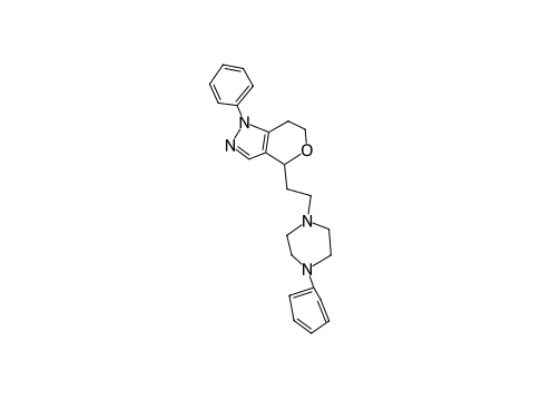 c1ccc(N2CCN(CCC3OCCc4c3cnn4-c3ccccc3)CC2)cc1